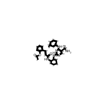 CC(=O)Oc1ccccc1C=CC(=O)NC1CCCCC1Nc1ncc(C(N)=O)c(Nc2cccc(C)c2)n1